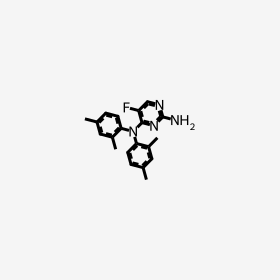 Cc1ccc(N(c2ccc(C)cc2C)c2nc(N)ncc2F)c(C)c1